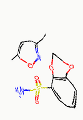 Cc1cc(C)on1.NS(=O)(=O)c1cccc2c1OCO2